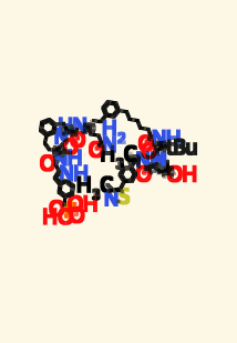 Cc1ncsc1-c1ccc([C@H](C)NC(=O)[C@@H]2C[C@@H](O)CN2C(=O)[C@@H](NC(=O)CCCCCc2cccc(CC[C@H](CCC(N)=O)NC(=O)[C@@H]3Cc4cccc5c4N3C(=O)[C@@H](NC(=O)c3cc4cc(C(=O)P(=O)(O)O)ccc4[nH]3)CC5)c2)C(C)(C)C)cc1